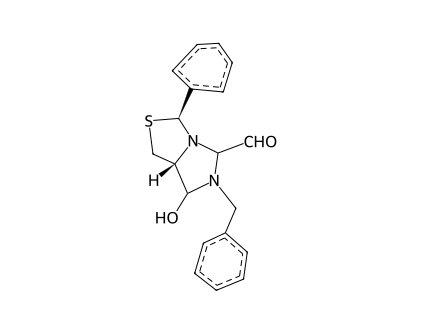 O=CC1N(Cc2ccccc2)C(O)[C@@H]2CS[C@@H](c3ccccc3)N12